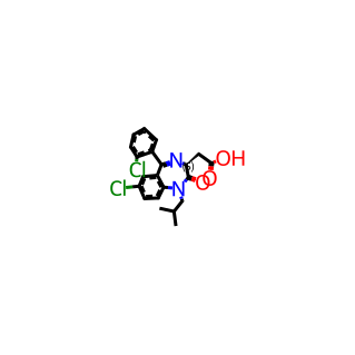 CC(C)CN1C(=O)[C@H](CC(=O)O)N=C(c2ccccc2Cl)c2cc(Cl)ccc21